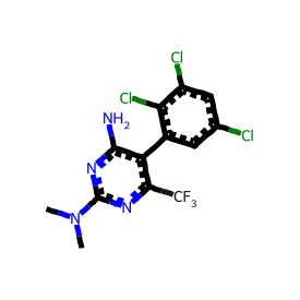 CN(C)c1nc(N)c(-c2cc(Cl)cc(Cl)c2Cl)c(C(F)(F)F)n1